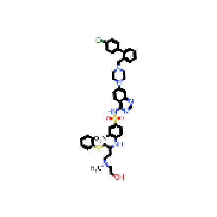 CN(CCO)CCC(CSc1ccccc1)Nc1ccc(S(=O)(=O)Nc2ncnc3cc(N4CCN(Cc5ccccc5-c5ccc(Cl)cc5)CC4)ccc23)cc1[N+](=O)[O-]